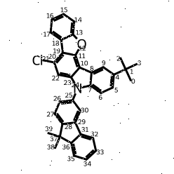 CC(C)(C)c1ccc2c(c1)c1c3oc4ccccc4c3c(Cl)cc1n2-c1ccc2c(c1)-c1ccccc1C2(C)C